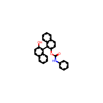 O=C(Nc1ccccc1)Oc1ccc2ccccc2c1-c1c(O)ccc2ccccc12